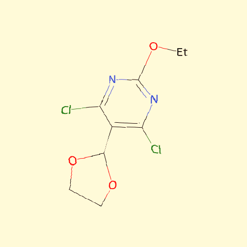 CCOc1nc(Cl)c(C2OCCO2)c(Cl)n1